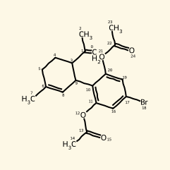 C=C(C)C1CCC(C)=CC1c1c(OC(C)=O)cc(Br)cc1OC(C)=O